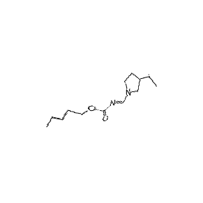 C[CH]C1CCN(/C=N/C(=O)OCCCCC)C1